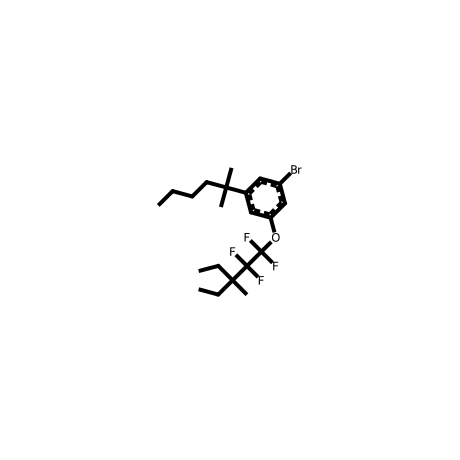 CCCCC(C)(C)c1cc(Br)cc(OC(F)(F)C(F)(F)C(C)(CC)CC)c1